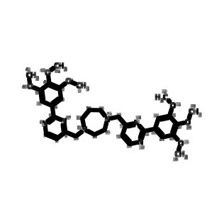 COc1cc(-c2nccc(CN3CCCN(Cc4ccnc(-c5cc(OC)c(OC)c(OC)c5)n4)CC3)n2)cc(OC)c1OC